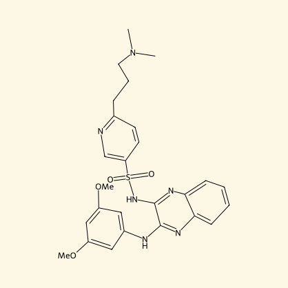 COc1cc(Nc2nc3ccccc3nc2NS(=O)(=O)c2ccc(CCCN(C)C)nc2)cc(OC)c1